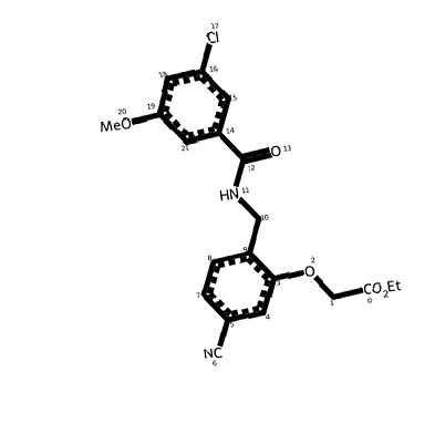 CCOC(=O)COc1cc(C#N)ccc1CNC(=O)c1cc(Cl)cc(OC)c1